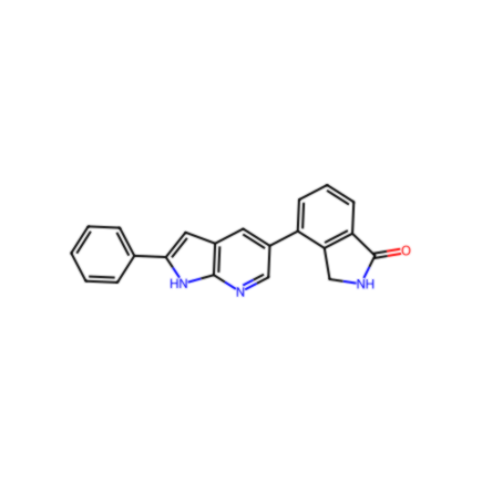 O=C1NCc2c1cccc2-c1cnc2[nH]c(-c3ccccc3)cc2c1